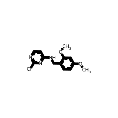 COc1ccc(CNc2ccnc(Cl)n2)c(OC)c1